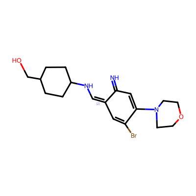 N=C1C=C(N2CCOCC2)C(Br)=C/C1=C/NC1CCC(CO)CC1